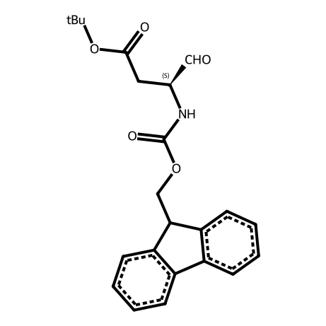 CC(C)(C)OC(=O)C[C@@H](C=O)NC(=O)OCC1c2ccccc2-c2ccccc21